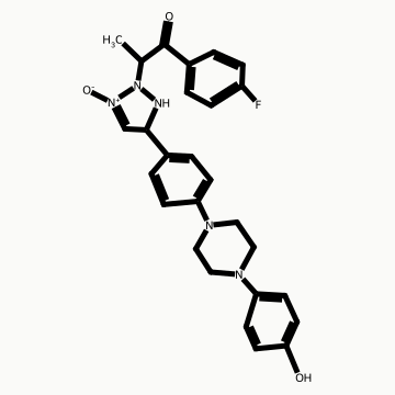 CC(C(=O)c1ccc(F)cc1)N1NC(c2ccc(N3CCN(c4ccc(O)cc4)CC3)cc2)C=[N+]1[O-]